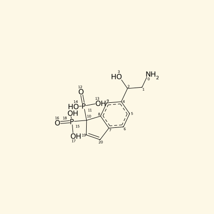 NCC(O)c1ccc2c(c1)C(P(=O)(O)O)(P(=O)(O)O)C=C2